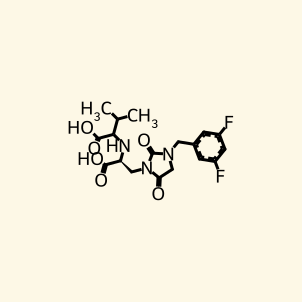 CC(C)C(N[C@@H](CN1C(=O)CN(Cc2cc(F)cc(F)c2)C1=O)C(=O)O)C(=O)O